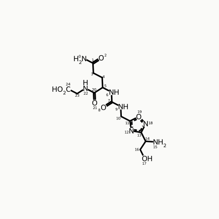 NC(=O)CCC(NC(=O)NCc1nc(C(N)CO)no1)C(=O)NCC(=O)O